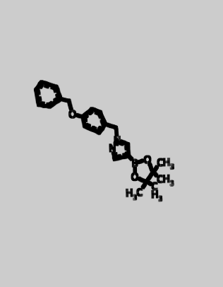 CC1(C)OB(c2cnn(Cc3ccc(OCc4ccccc4)cc3)c2)OC1(C)C